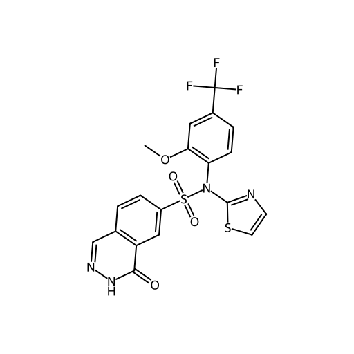 COc1cc(C(F)(F)F)ccc1N(c1nccs1)S(=O)(=O)c1ccc2cn[nH]c(=O)c2c1